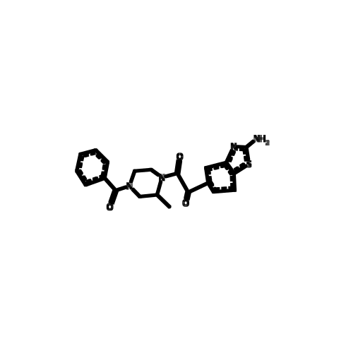 CC1CN(C(=O)c2ccccc2)CCN1C(=O)C(=O)c1ccc2sc(N)nc2c1